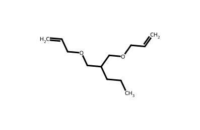 C=CCOCC(CCC)COCC=C